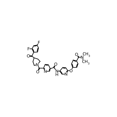 CN(C)C(=O)c1ccc(Oc2ccc(NC(=O)c3ccc(C(=O)N4CCC(C(=O)c5ccc(F)cc5F)CC4)nc3)cn2)cc1